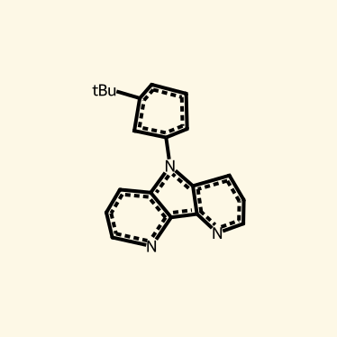 CC(C)(C)c1cccc(-n2c3cccnc3c3ncccc32)c1